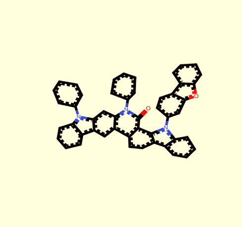 O=c1c2c(ccc3c4ccccc4n(-c4ccc5c(c4)oc4ccccc45)c32)c2cc3c4ccccc4n(-c4ccccc4)c3cc2n1-c1ccccc1